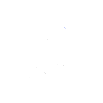 O=C(Nc1ccc(Cl)c(-c2nccc3ccccc23)c1)c1ccc(C(=O)N2CCSC2)cc1Cl